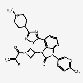 C=C(F)C(=O)N1CC(n2c(=O)n(-c3ccc(C(F)(F)F)nc3)c3nccc(-c4nc(C5CCN(C)CC5)no4)c32)C1